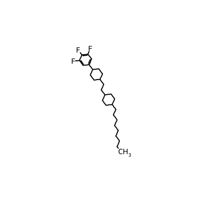 CCCCCCCCCC1CCC(CCC2CCC(c3cc(F)c(F)c(F)c3)CC2)CC1